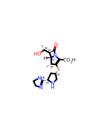 C[C@@H](O)[C@H]1C(=O)N2C(C(=O)O)=C(S[C@@H]3CN[C@H](C4=NCCN4)C3)[C@H](C)[C@H]12